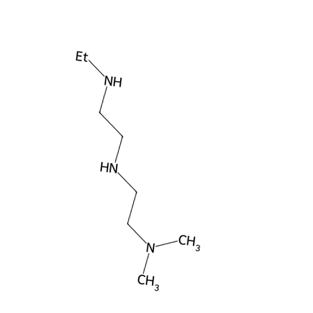 CCNCCNCCN(C)C